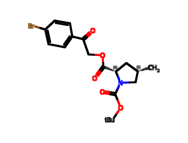 C[C@H]1C[C@@H](C(=O)OCC(=O)c2ccc(Br)cc2)N(C(=O)OC(C)(C)C)C1